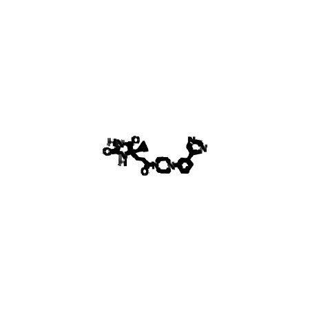 O=C1NC(=O)C(CCC(=O)N2CCN(c3cccc(-c4cncnc4)c3)CC2)(C2CC2)N1